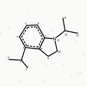 CC(C)c1cccc2c1CCN2C(C)C